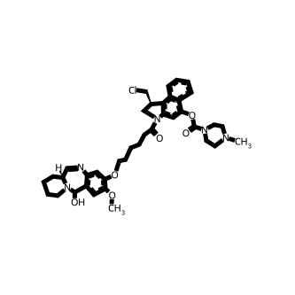 COc1cc2c(cc1OCCCCCC(=O)N1C[C@@H](CCl)c3c1cc(OC(=O)N1CCN(C)CC1)c1ccccc31)N=C[C@@H]1CCCCN1C2O